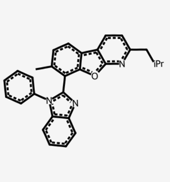 Cc1ccc2c(oc3nc(CC(C)C)ccc32)c1-c1nc2ccccc2n1-c1ccccc1